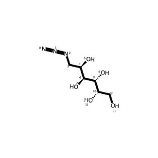 [N-]=[N+]=NC[C@@H](O)[C@H](O)[C@H](O)[C@@H](O)CO